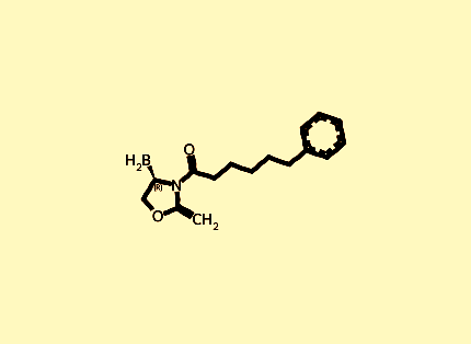 B[C@@H]1COC(=C)N1C(=O)CCCCCc1ccccc1